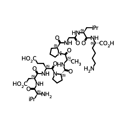 CC(C)C[C@H](NC(=O)CNC(=O)[C@@H]1CCCN1C(=O)[C@H](C)NC(=O)[C@@H]1CCCN1C(=O)[C@H](CCC(=O)O)NC(=O)[C@H](CC(=O)O)NC(=O)[C@@H](N)C(C)C)C(=O)N[C@@H](CCCCN)C(=O)O